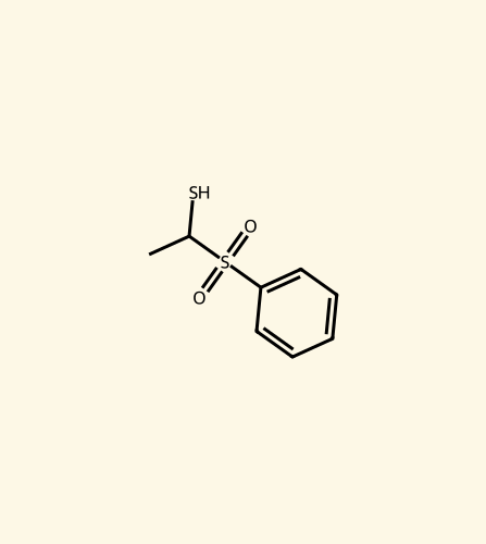 CC(S)S(=O)(=O)c1ccccc1